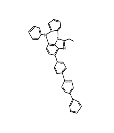 CCc1nc2c(-c3ccc(-c4ccc(-c5ccccc5)cc4)cc3)ccc3c2n1-c1ccccc1N3c1ccccc1